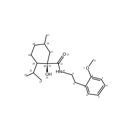 COc1ccccc1CCNC(=O)[C@@]1(O)CC(C)CCC1C(C)C